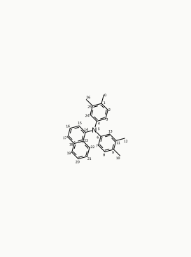 Cc1ccc(N(c2ccc(C)c(C)c2)c2cccc3ccccc23)cc1C